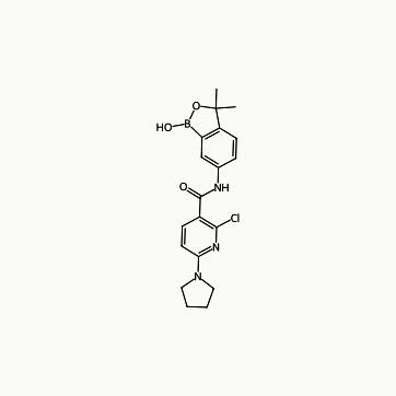 CC1(C)OB(O)c2cc(NC(=O)c3ccc(N4CCCC4)nc3Cl)ccc21